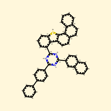 c1ccc(-c2ccc(-c3nc(-c4ccc5ccccc5c4)nc(-c4cccc5sc6c(ccc7ccc8ccccc8c76)c45)n3)cc2)cc1